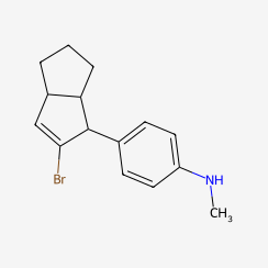 CNc1ccc(C2C(Br)=CC3CCCC32)cc1